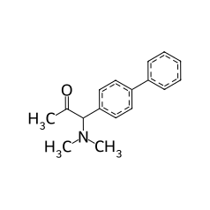 CC(=O)C(c1ccc(-c2ccccc2)cc1)N(C)C